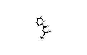 O=C(O)CC(=O)N1CC[CH]CC1